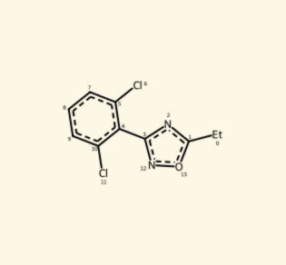 CCc1nc(-c2c(Cl)cccc2Cl)no1